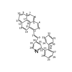 C(=C\c1ccc2ccc3cccc4ccc1c2c34)/c1ccnc(-c2ccccc2-c2ccccc2)c1